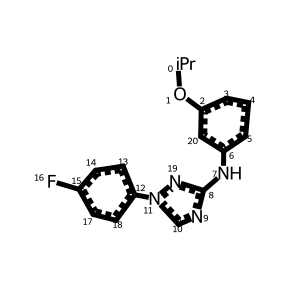 CC(C)Oc1cccc(Nc2ncn(-c3ccc(F)cc3)n2)c1